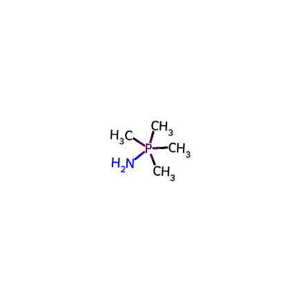 CP(C)(C)(C)N